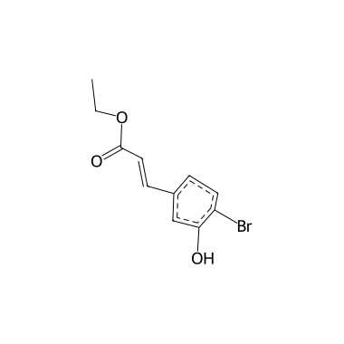 CCOC(=O)/C=C/c1ccc(Br)c(O)c1